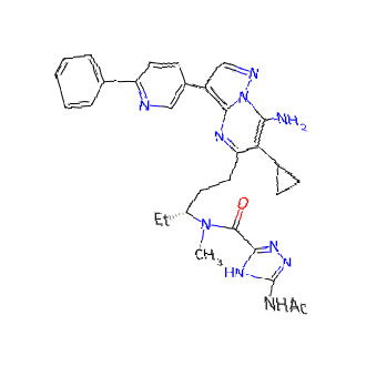 CC[C@H](CCc1nc2c(-c3ccc(-c4ccccc4)nc3)cnn2c(N)c1C1CC1)N(C)C(=O)c1nnc(NC(C)=O)[nH]1